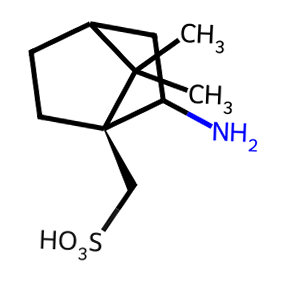 CC1(C)C2CC[C@@]1(CS(=O)(=O)O)C(N)C2